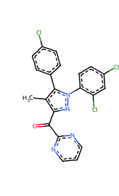 Cc1c(C(=O)c2ncccn2)nn(-c2ccc(Cl)cc2Cl)c1-c1ccc(Cl)cc1